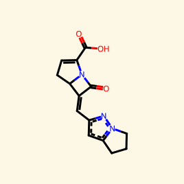 O=C(O)C1=CCC2C(=Cc3cc4n(n3)CCC4)C(=O)N12